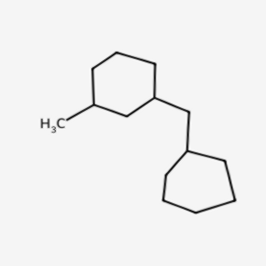 CC1CCCC(CC2CCCCC2)C1